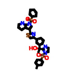 Cc1ccc(S(=O)(=O)n2ccnc2C(C)(O)c2cccc(-c3csc(-c4cn(S(=O)(=O)c5ccccc5)c5ncccc45)n3)c2)cc1